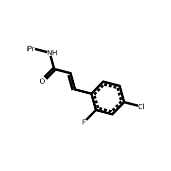 CC(C)NC(=O)/C=C/c1ccc(Cl)cc1F